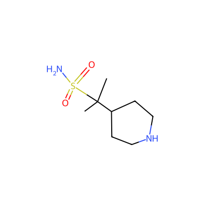 CC(C)(C1CCNCC1)S(N)(=O)=O